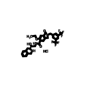 CCOc1cc2c(cc1C(=O)NCC(O)[C@@H]1Cc3ccccc3CN1)CN(Cc1cc(C(F)(F)F)cc(C(F)(F)F)c1)C2=O.Cl